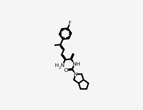 C=C(NC(=O)N1CC2CCCC2C1)/C(N)=C\C=C(/C)c1ccc(F)cc1